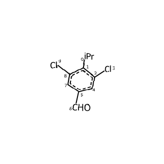 CC(C)c1c(Cl)cc(C=O)cc1Cl